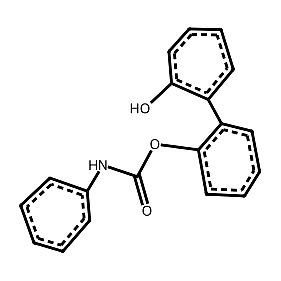 O=C(Nc1ccccc1)Oc1ccccc1-c1ccccc1O